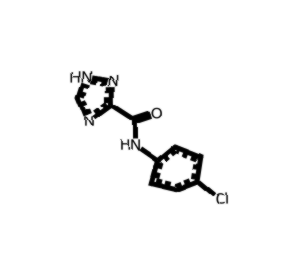 O=C(Nc1ccc(Cl)cc1)c1nc[nH]n1